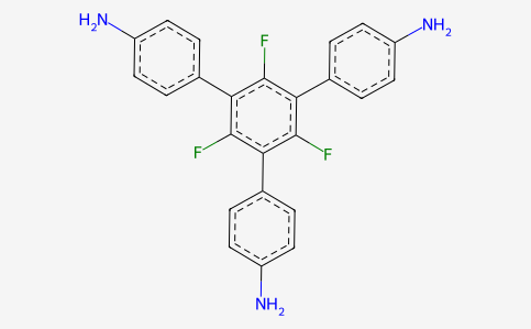 Nc1ccc(-c2c(F)c(-c3ccc(N)cc3)c(F)c(-c3ccc(N)cc3)c2F)cc1